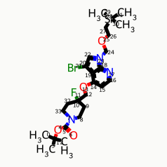 CC(C)(C)OC(=O)N1CCC(F)(COc2ccnc3c2c(Br)cn3COCC[Si](C)(C)C)CC1